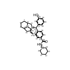 C=CCN1C2CCCC1CN(C(c1ccc(C(=O)NN3CCCCC3)cc1)c1cccc(O)c1)CC2